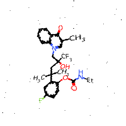 CCNC(=O)Oc1ccc(F)cc1C(C)(C)CC(O)(Cn1cc(C)c(=O)c2ccccc21)C(F)(F)F